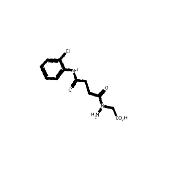 NN(CC(=O)O)C(=O)CCC(=O)Nc1ccccc1Cl